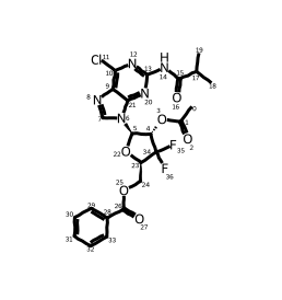 CC(=O)O[C@H]1[C@H](n2cnc3c(Cl)nc(NC(=O)C(C)C)nc32)O[C@H](COC(=O)c2ccccc2)C1(F)F